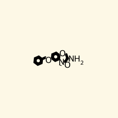 CN1C(=O)[C@@H](N)COc2ccc(OCc3ccccc3)cc21